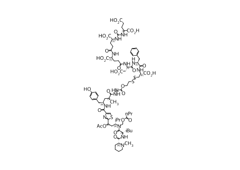 CCCC(=O)OCN(C(=O)[C@@H](NC(=O)[C@H]1CCCCN1C)C(C)CC)[C@H](C[C@@H](OC(C)=O)c1nc(C(=O)N[C@@H](Cc2ccc(O)cc2)C[C@H](C)C(=O)NNC(=O)OCCSSC[C@H](NC(=O)[C@H](Cc2ccccc2)NC(=O)[C@H](CC(=O)O)NC(=O)CC[C@H](NC(=O)CC[C@H](NC(=O)N[C@@H](CCC(=O)O)C(=O)O)C(=O)O)C(=O)O)C(=O)O)cs1)C(C)C